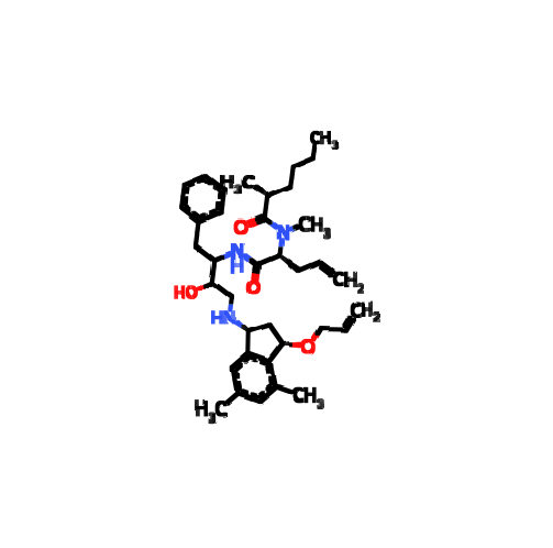 C=CCO[C@@H]1C[C@H](NCC(O)C(Cc2ccccc2)NC(=O)[C@H](CC=C)N(C)C(=O)[C@@H](C)CCCC)c2cc(C)cc(C)c21